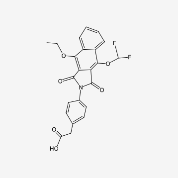 CCOc1c2c(c(OC(F)F)c3ccccc13)C(=O)N(c1ccc(CC(=O)O)cc1)C2=O